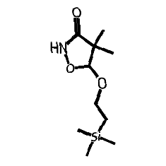 CC1(C)C(=O)NOC1OCC[Si](C)(C)C